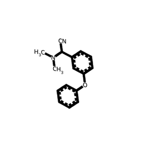 CN(C)C(C#N)c1cccc(Oc2ccccc2)c1